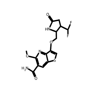 COc1nc2c(OCC3NC(=O)CC3C(F)F)csc2cc1C(N)=O